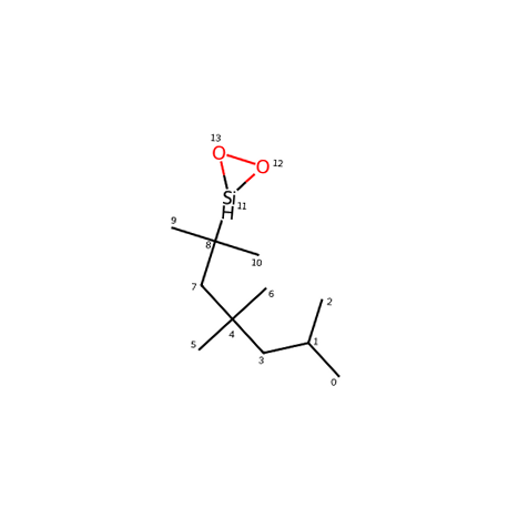 CC(C)CC(C)(C)CC(C)(C)[SiH]1OO1